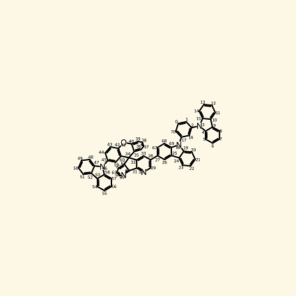 c1cc(-n2c3ccccc3c3ccccc32)cc(-n2c3ccccc3c3cc(-c4cnc5c(c4)C4(c6ccccc6Oc6ccc(-n7c8ccccc8c8ccccc87)cc64)c4cccnc4-5)ccc32)c1